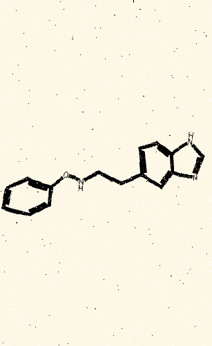 c1ccc(ONCCc2ccc3[nH]cnc3c2)cc1